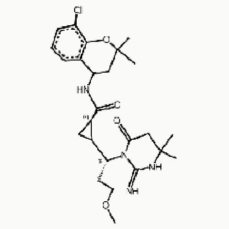 COCC[C@H](C1C[C@H]1C(=O)NC1CC(C)(C)Oc2c(Cl)cccc21)N1C(=N)NC(C)(C)CC1=O